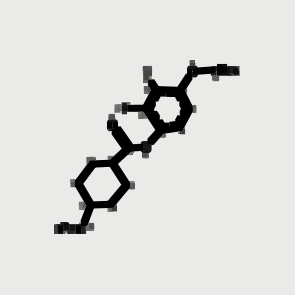 CCCCCCOc1ccc(OC(=O)C2CCC(CCCCC)CC2)c(F)c1F